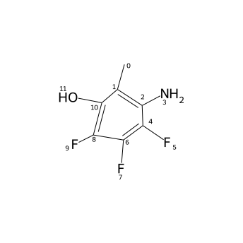 Cc1c(N)c(F)c(F)c(F)c1O